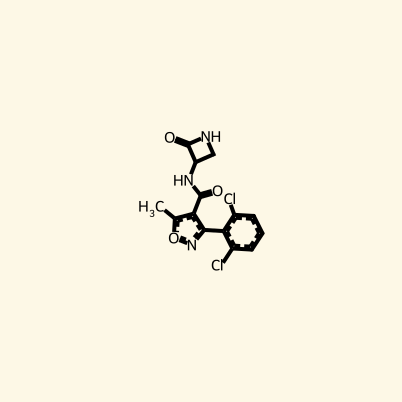 Cc1onc(-c2c(Cl)cccc2Cl)c1C(=O)NC1CNC1=O